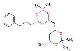 CC1(C)O[C@@H](C[C@H]2C[C@@H](C=O)OC(C)(C)O2)C[C@H](CCCc2ccccc2)O1